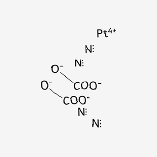 O=C([O-])[O-].O=C([O-])[O-].[N].[N].[N].[N].[Pt+4]